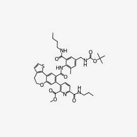 CCCCNC(=O)c1cc(CNC(=O)OC(C)(C)C)cc(C)c1NC(=O)c1cc2c(cc1-c1ccc(C(=O)NCCC)nc1C(=O)OC)OCCc1ccsc1-2